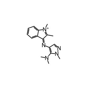 CC1=[N+](C)c2ccccc2/C1=N/c1cnn(C)c1N(C)C